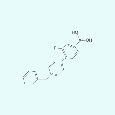 OB(O)c1ccc(-c2ccc(Cc3ccccc3)cc2)c(F)c1